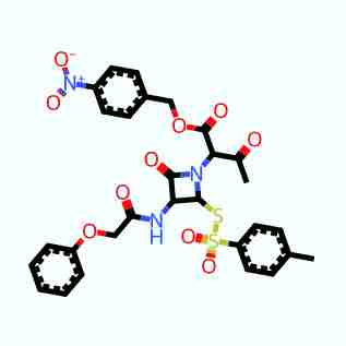 CC(=O)C(C(=O)OCc1ccc([N+](=O)[O-])cc1)N1C(=O)C(NC(=O)COc2ccccc2)C1SS(=O)(=O)c1ccc(C)cc1